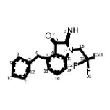 N=C1C(=O)c2c(Cc3ccccc3)cccc2N1CC(F)(F)F